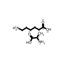 CC(N)C(=O)O.NCCCCCC(=O)O